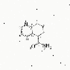 NC(=O)C1CCCc2ncccc21